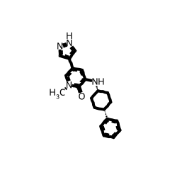 Cn1cc(-c2cn[nH]c2)cc(N[C@H]2CC[C@@H](c3ccccc3)CC2)c1=O